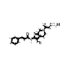 N#Cc1c(NC(=O)C=Cc2ccccc2)sc2c1CCN(C(=O)CC(=O)O)C2